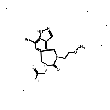 COCCN1Cc2c(cc(Br)c3[nH]ncc23)C[C@@H](CC(=O)O)C1=O